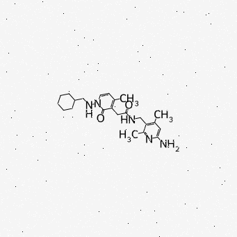 Cc1cc(N)nc(C)c1CNC(=O)Cc1c(C)ccn(NCC2CCCCC2)c1=O